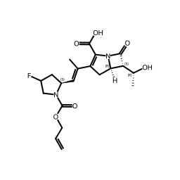 C=CCOC(=O)N1CC(F)C[C@H]1C=C(C)C1=C(C(=O)O)N2C(=O)[C@H]([C@@H](C)O)[C@H]2C1